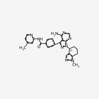 Cc1ccnc(NC(=O)c2ccc(-c3nn([C@H]4CCCc5c4cnn5C)c4ncnc(N)c34)cc2)c1